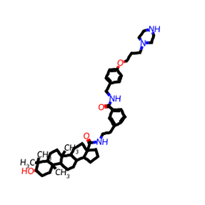 CC1(C)C(O)CCC2(C)C1CCC1(C)C3CCC4(C(=O)NCCc5cccc(C(=O)NCc6ccc(OCCCN7CCNCC7)cc6)c5)CCCC4C3CCC12